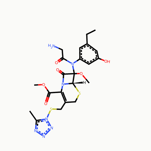 CCc1cc(O)cc(N(C(=O)CN)C2(OC)C(=O)N3C(C(=O)OC)=C(CSn4nnnc4C)CS[C@H]32)c1